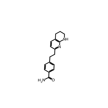 NC(=O)c1ccc(CCc2ccc3c(n2)NCCC3)cc1